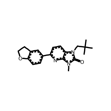 Cn1c(=O)n(CC(C)(C)C)c2ccc(-c3ccc4c(c3)CCO4)nc21